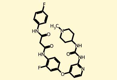 CN1CCC(NC(=O)Nc2cc(Oc3ccc(NC(=O)CC(=O)Nc4ccc(F)cc4)c(F)c3)ccn2)CC1